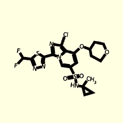 CC1(NS(=O)(=O)c2cc(OC3CCOCC3)c3c(Cl)nc(-c4nnc(C(F)F)s4)n3c2)CC1